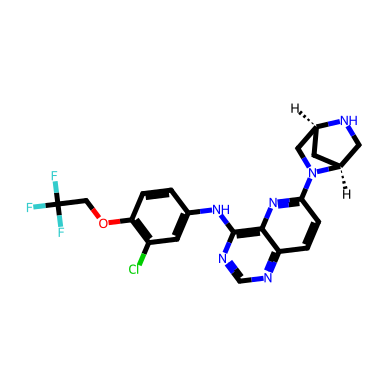 FC(F)(F)COc1ccc(Nc2ncnc3ccc(N4C[C@@H]5C[C@H]4CN5)nc23)cc1Cl